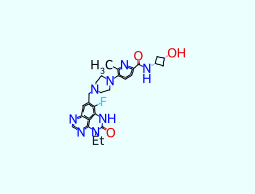 CCN1C(=O)Nc2c(F)c(CN3CCN(c4ccc(C(=O)N[C@H]5C[C@@H](O)C5)nc4C)CC3)cc3ncnc1c23